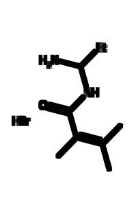 Br.CCC(N)NC(=O)C(C)=C(C)C